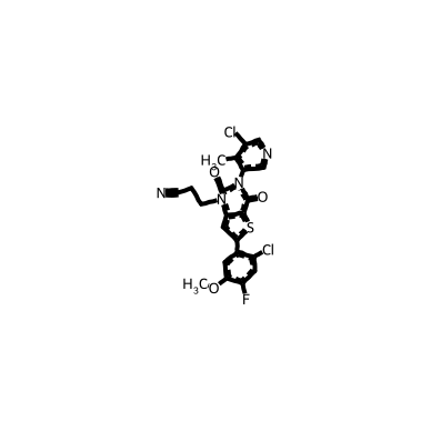 COc1cc(-c2cc3c(s2)c(=O)n(-c2cncc(Cl)c2C)c(=O)n3CCC#N)c(Cl)cc1F